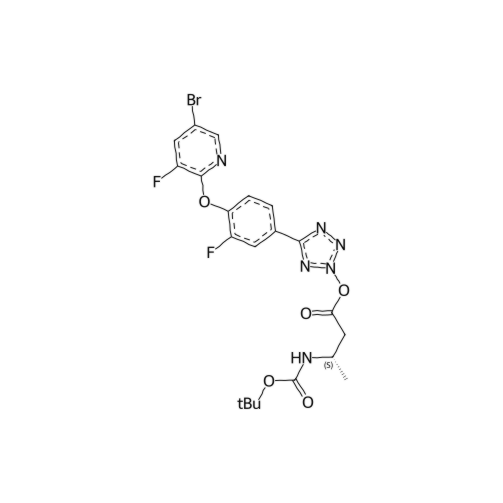 C[C@@H](CC(=O)On1nnc(-c2ccc(Oc3ncc(Br)cc3F)c(F)c2)n1)NC(=O)OC(C)(C)C